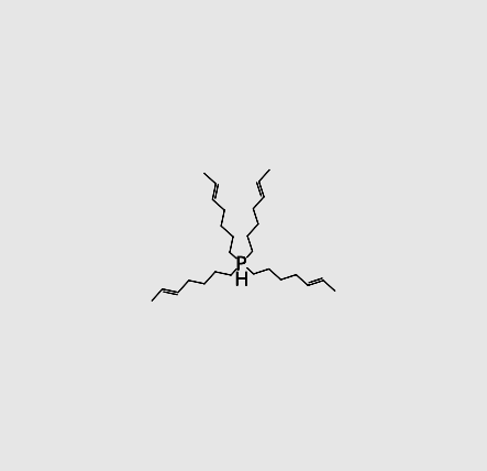 CC=CCCCC[PH](CCCCC=CC)(CCCCC=CC)CCCCC=CC